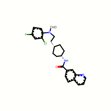 O=CN(CC[C@H]1CC[C@@H](NC(=O)c2ccc3cccnc3c2)CC1)c1ccc(F)cc1Cl